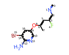 C=N/C=C(F)\C=C(/C)Oc1cnc(N)c(Br)c1